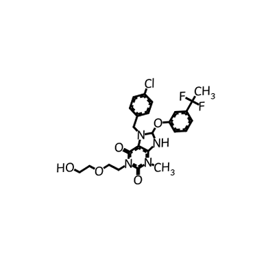 Cn1c2c(c(=O)n(CCOCCO)c1=O)N(Cc1ccc(Cl)cc1)C(Oc1cccc(C(C)(F)F)c1)N2